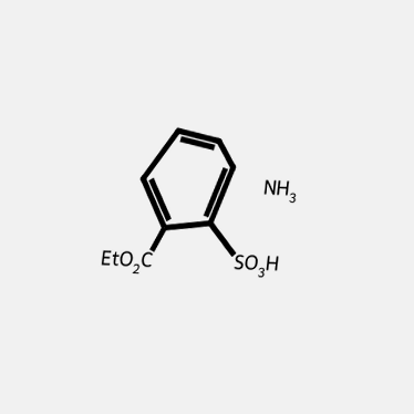 CCOC(=O)c1ccccc1S(=O)(=O)O.N